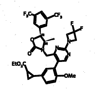 CCOC(=O)C1CC1c1ccc(OC)c(-c2cnc(N3CC(F)(F)C3)nc2CN2C(=O)O[C@H](c3cc(C(F)(F)F)cc(C(F)(F)F)c3)[C@@H]2C)c1